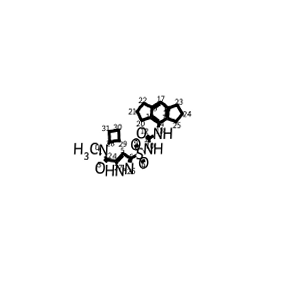 CN(C(=O)c1cc(S(=O)(=O)NC(=O)Nc2c3c(cc4c2CCC4)CCC3)n[nH]1)C1CCC1